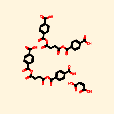 O=C(CCC(=O)OC(=O)c1ccc(C(=O)O)cc1)OC(=O)c1ccc(C(=O)O)cc1.O=C(CCC(=O)OC(=O)c1ccc(C(=O)O)cc1)OC(=O)c1ccc(C(=O)O)cc1.O=C(O)/C=C\C(=O)O